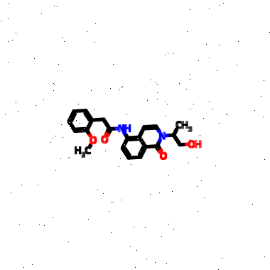 COc1ccccc1CC(=O)Nc1cccc2c(=O)n(C(C)CO)ccc12